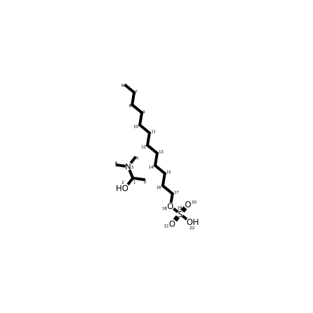 CC(O)N(C)C.CCCCCCCCCCCCOS(=O)(=O)O